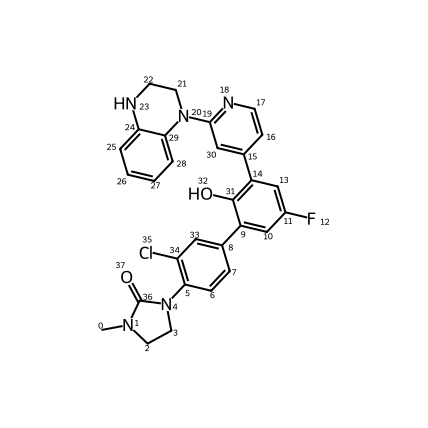 CN1CCN(c2ccc(-c3cc(F)cc(-c4ccnc(N5CCNc6ccccc65)c4)c3O)cc2Cl)C1=O